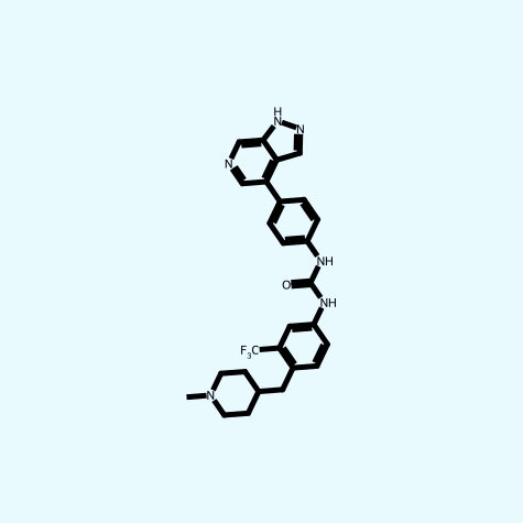 CN1CCC(Cc2ccc(NC(=O)Nc3ccc(-c4cncc5[nH]ncc45)cc3)cc2C(F)(F)F)CC1